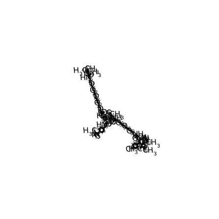 Cc1ncsc1-c1ccc(CNC(=O)[C@@H]2C[C@@H](OC(=O)COCCOCCOCCOCCOCCNC(=O)OC(C)(C)C)CN2C(=O)[C@@H](NC(=O)COCCOCCOCCNC(=O)C[C@@H]2N=C(c3ccc(Cl)cc3)c3c(sc(C)c3C)-n3c(C)nnc32)C(C)(C)C)cc1